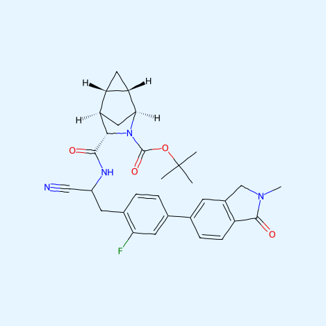 CN1Cc2cc(-c3ccc(CC(C#N)NC(=O)[C@@H]4[C@@H]5C[C@@H]([C@H]6C[C@@H]56)N4C(=O)OC(C)(C)C)c(F)c3)ccc2C1=O